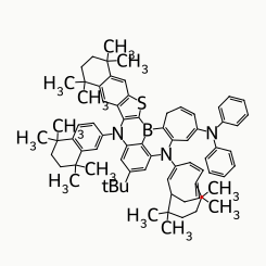 CC1(C)CCC(C)(C)C2\C=C(N3C4=C(CC=CC(N(c5ccccc5)c5ccccc5)=C4)B4c5sc6cc7c(cc6c5N(c5ccc6c(c5)C(C)(C)CCC6(C)C)c5cc(C(C)(C)C)cc3c54)C(C)(C)CCC7(C)C)/C=C\C1=C\C2